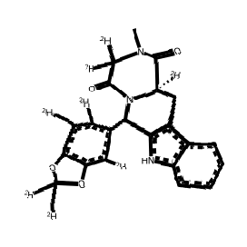 [2H]c1c([2H])c(C2c3[nH]c4ccccc4c3C[C@]3([2H])C(=O)N(C)C([2H])([2H])C(=O)N23)c([2H])c2c1OC([2H])([2H])O2